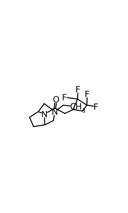 CCN1CC2CCC(C1)N2C(=O)CC1CC(F)(F)C1(F)F